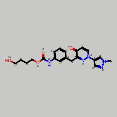 Cn1cc(-n2ccc(=O)c(Cc3cccc(NC(=O)OCCCCO)c3)n2)cn1